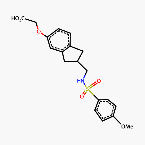 COc1ccc(S(=O)(=O)NCC2Cc3ccc(OCC(=O)O)cc3C2)cc1